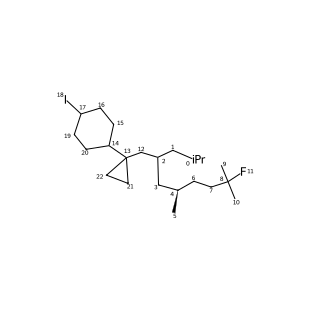 CC(C)CC(C[C@H](C)CCC(C)(C)F)CC1(C2CCC(I)CC2)CC1